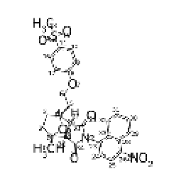 C[C@@]12CC[C@@](CCOc3ccc(S(C)(=O)=O)cc3)(O1)[C@H]1C(=O)N(c3ccc([N+](=O)[O-])c4ccccc34)C(=O)[C@H]12